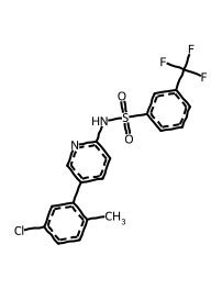 Cc1ccc(Cl)cc1-c1ccc(NS(=O)(=O)c2cccc(C(F)(F)F)c2)nc1